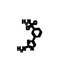 Nc1ncc(-c2cccc(S(N)(=O)=O)c2)s1